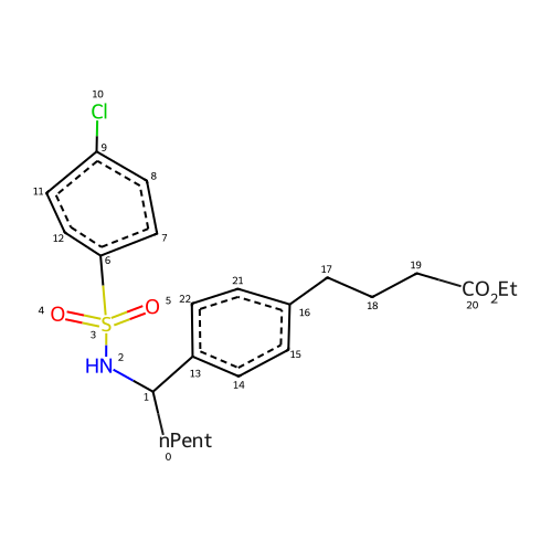 CCCCCC(NS(=O)(=O)c1ccc(Cl)cc1)c1ccc(CCCC(=O)OCC)cc1